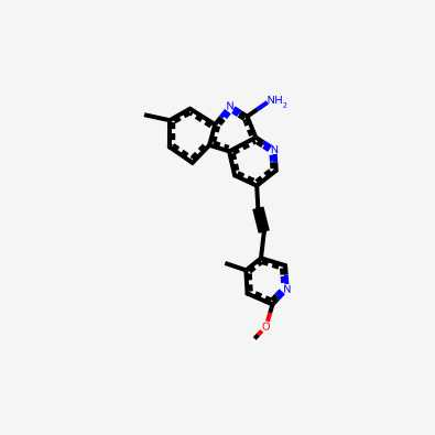 COc1cc(C)c(C#Cc2cnc3c(N)nc4cc(C)ccc4c3c2)cn1